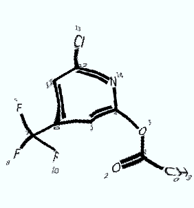 CC(=O)Oc1cc(C(F)(F)F)cc(Cl)n1